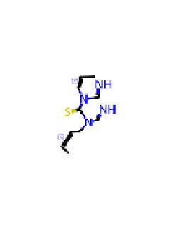 C/C=C\CN(C=N)C(=S)N(C=N)/C=C\C